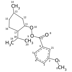 COc1cccc(C(=O)OO[C]2CC(C)CCC2C(C)C)c1